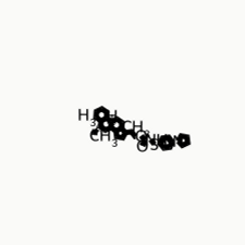 CC[C@H]1CC2C3CCC(CCOC(=O)NSc4ccc(N5CCCC5)cc4)C3(C)CC[C@@H]2C2(C)CCCCC12